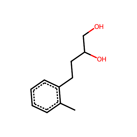 Cc1ccccc1CCC(O)CO